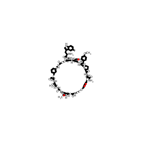 CC[C@@H]1NC(=O)[C@@H](N(C)C(=O)[C@@H](N)Cc2c[nH]c3ccc(F)cc23)CCC(=O)NCc2cccc(c2)C[C@@H](C=O)NC(=O)[C@@H](C)NC(=O)CNC(=O)[C@@H](NC(C)=O)CC(=O)NCCOc2ccc(cc2)C[C@@H](C(N)=O)NC(=O)C2CCCN2C(=O)[C@H](Cc2ccc(OC)cc2)NC1=O